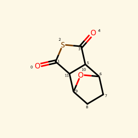 O=C1SC(=O)C2C3CCC(O3)C12